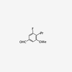 COc1cc(C=O)cc(F)c1C(C)C